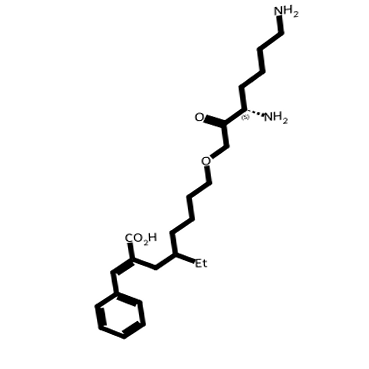 CCC(CCCCOCC(=O)[C@@H](N)CCCCN)CC(=Cc1ccccc1)C(=O)O